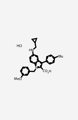 COc1cccc(Cn2c(C(=O)O)c(-c3ccc(C(C)(C)C)cc3)c3cc(NCC4CC4)ccc32)c1.Cl